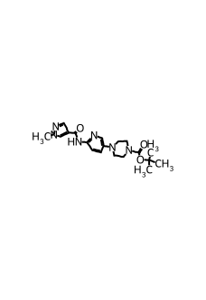 Cn1cc(C(=O)Nc2ccc(N3CCN(C(=O)OC(C)(C)C)CC3)cn2)cn1